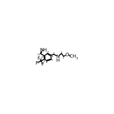 COCCNCc1ccc(C(F)(F)F)c(C=N)c1